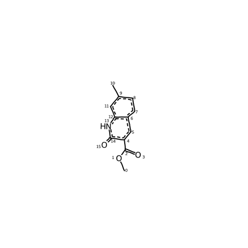 COC(=O)c1cc2ccc(C)cc2[nH]c1=O